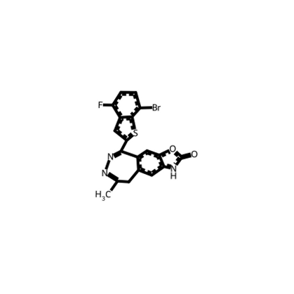 CC1=NN=C(c2cc3c(F)ccc(Br)c3s2)c2cc3oc(=O)[nH]c3cc2C1